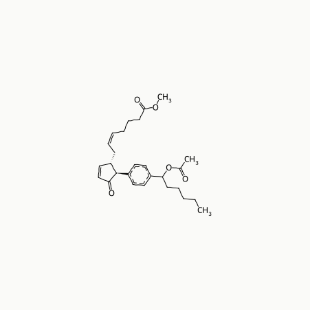 CCCCCC(OC(C)=O)c1ccc([C@H]2C(=O)C=C[C@@H]2C/C=C\CCCC(=O)OC)cc1